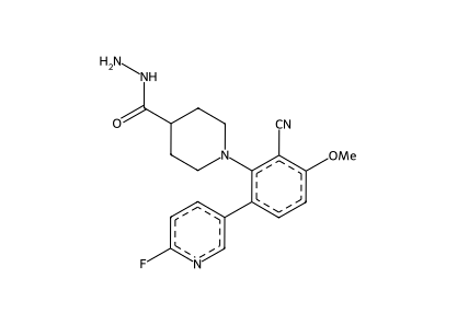 COc1ccc(-c2ccc(F)nc2)c(N2CCC(C(=O)NN)CC2)c1C#N